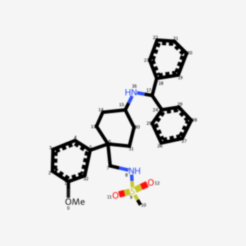 COc1cccc(C2(CNS(C)(=O)=O)CCC(NC(c3ccccc3)c3ccccc3)CC2)c1